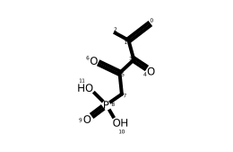 C=C(C)C(=O)C(=O)CP(=O)(O)O